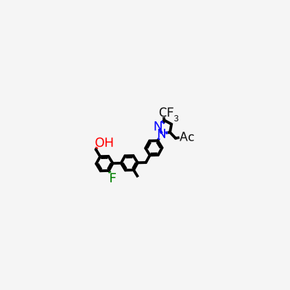 CC(=O)CC1CC(C(F)(F)F)=NN1c1ccc(Cc2ccc(-c3cc(CO)ccc3F)cc2C)cc1